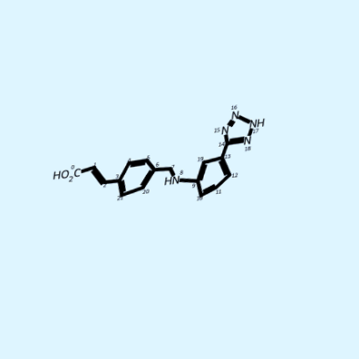 O=C(O)C=Cc1ccc(CNc2cccc(-c3nn[nH]n3)c2)cc1